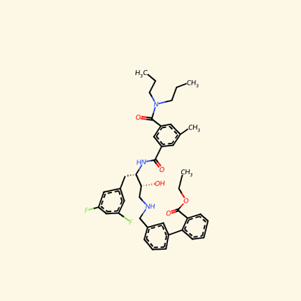 CCCN(CCC)C(=O)c1cc(C)cc(C(=O)N[C@@H](Cc2cc(F)cc(F)c2)[C@H](O)CNCc2cccc(-c3ccccc3C(=O)OCC)c2)c1